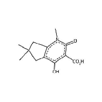 Cn1c2c(c(O)c(C(=O)O)c1=O)CC(C)(C)C2